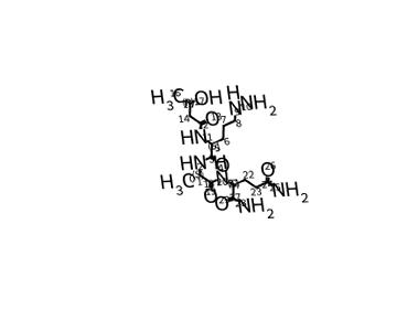 C[C@H](NC(=O)[C@H](CCCNN)NC(=O)C[C@@H](C)O)C(=O)N[C@@H](CCC(N)=O)C(N)=O